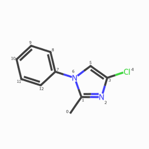 Cc1nc(Cl)cn1-c1ccccc1